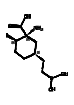 N[C@]1(C(=O)O)C[C@H](CCB(O)O)CC[C@H]1I